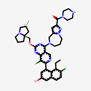 CCc1c(F)ccc2cc(O)cc(-c3ncc4c(N5CCCn6nc(C(=O)N7CCNCC7)cc6C5)nc(OC[C@@]56CCCN5C[C@H](F)C6)nc4c3F)c12